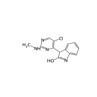 CNc1ncc(Cl)c(C2C(O)=Nc3ccccc32)n1